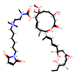 CC[C@H](O)[C@@H](C)[C@H]1O[C@@H]1C[C@@](C)(O)/C=C/C=C(\C)[C@H]1OC(=O)C[C@H](O)CC[C@@](C)(OC)[C@@H](OC(=O)N(C)CC[N+](C)(C)CCCCCCN2C(=O)C=CC2=O)/C=C/[C@@H]1C